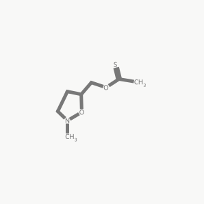 CC(=S)OCC1CCN(C)O1